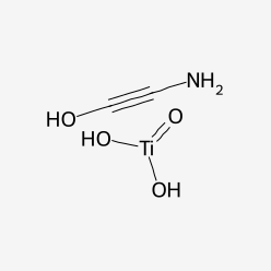 NC#CO.[O]=[Ti]([OH])[OH]